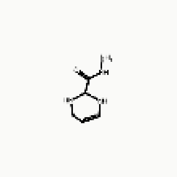 NNC(=O)C1NC=CCN1